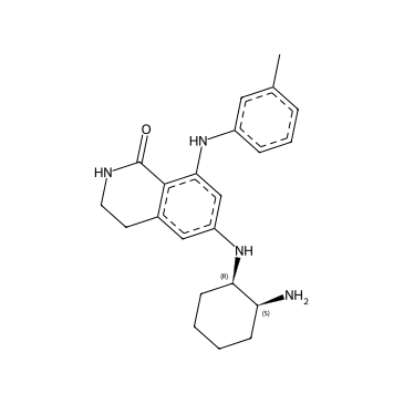 Cc1cccc(Nc2cc(N[C@@H]3CCCC[C@@H]3N)cc3c2C(=O)NCC3)c1